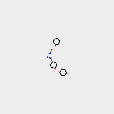 Fc1ccc(Oc2ccc(-c3c[nH]c(COc4ccccc4)n3)cc2)c(F)c1